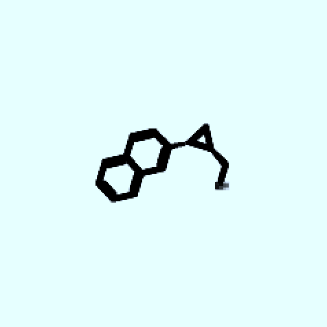 OC[C@@H]1C[C@H]1c1ccc2ccccc2c1